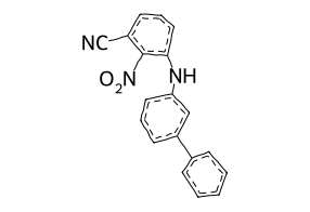 N#Cc1cccc(Nc2cccc(-c3ccccc3)c2)c1[N+](=O)[O-]